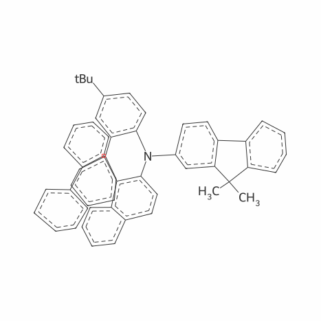 CC(C)(C)c1ccc(N(c2ccc3c(c2)C(C)(C)c2ccccc2-3)c2ccc3ccccc3c2-c2ccccc2-c2ccccc2)c(-c2ccccc2)c1